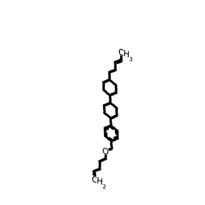 C=CCCCOCc1ccc(C2CCC(C3CCC(CCC=CC)CC3)CC2)cc1